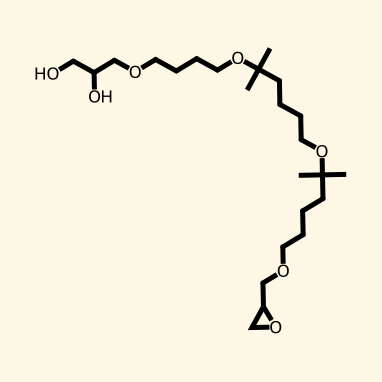 CC(C)(CCCCOCC1CO1)OCCCCC(C)(C)OCCCCOCC(O)CO